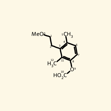 COCCc1c(C)ccc(OC(=O)O)c1C